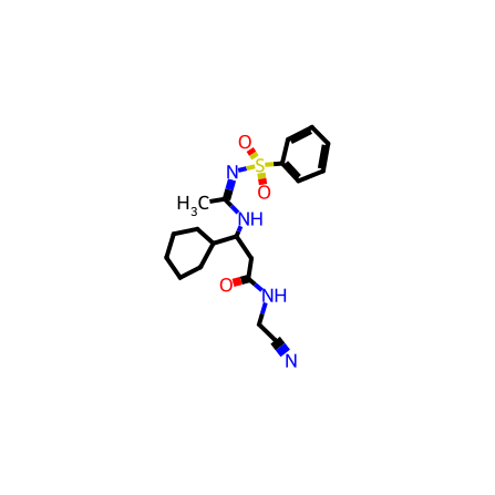 CC(=NS(=O)(=O)c1ccccc1)NC(CC(=O)NCC#N)C1CCCCC1